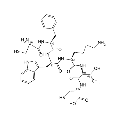 C[C@@H](O)[C@H](NC(=O)[C@H](CCCCN)NC(=O)[C@@H](Cc1c[nH]c2ccccc12)NC(=O)[C@H](Cc1ccccc1)NC(=O)[C@@H](N)CS)C(=O)N[C@@H](CS)C(=O)O